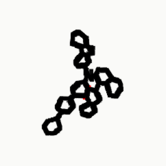 c1ccc2cc(-c3c(N(c4ccc(-c5ccc(C6CCCCC6)cc5)cc4)c4ccc5c(c4)sc4ccccc45)ccc4ccccc34)ccc2c1